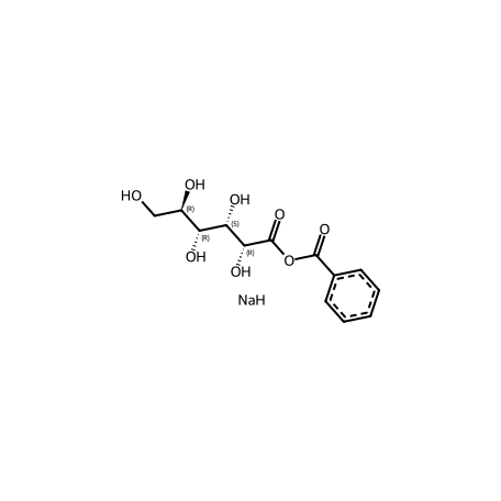 O=C(OC(=O)[C@H](O)[C@@H](O)[C@H](O)[C@H](O)CO)c1ccccc1.[NaH]